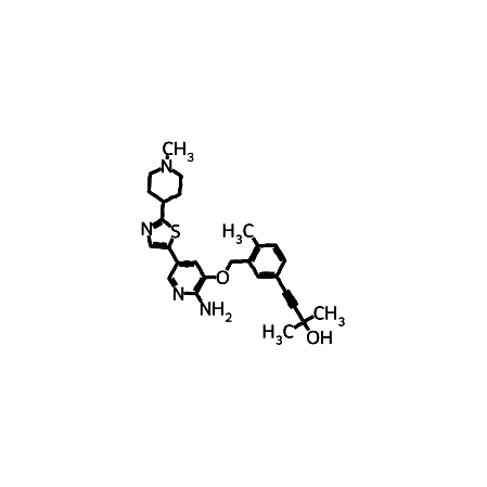 Cc1ccc(C#CC(C)(C)O)cc1COc1cc(-c2cnc(C3CCN(C)CC3)s2)cnc1N